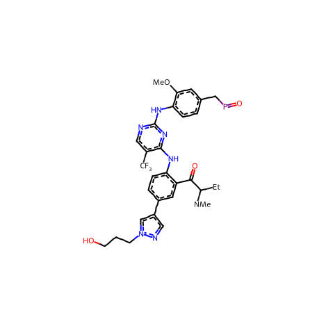 CCC(NC)C(=O)c1cc(-c2cnn(CCCO)c2)ccc1Nc1nc(Nc2ccc(CP=O)cc2OC)ncc1C(F)(F)F